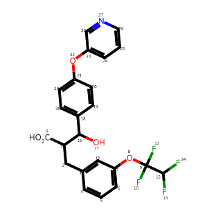 O=C(O)C(Cc1cccc(OC(F)(F)C(F)F)c1)C(O)c1ccc(Oc2cccnc2)cc1